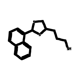 SCCCC1CSC(c2cccc3ccccc23)S1